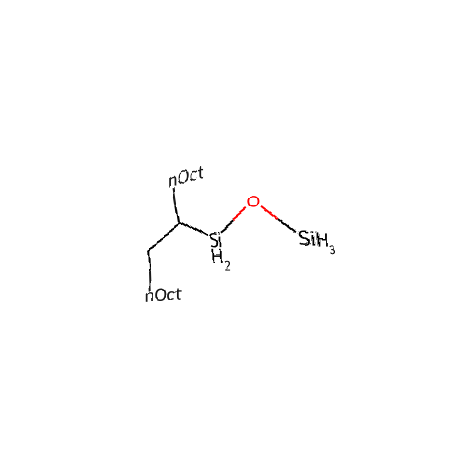 CCCCCCCCCC(CCCCCCCC)[SiH2]O[SiH3]